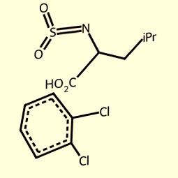 CC(C)CC(N=S(=O)=O)C(=O)O.Clc1ccccc1Cl